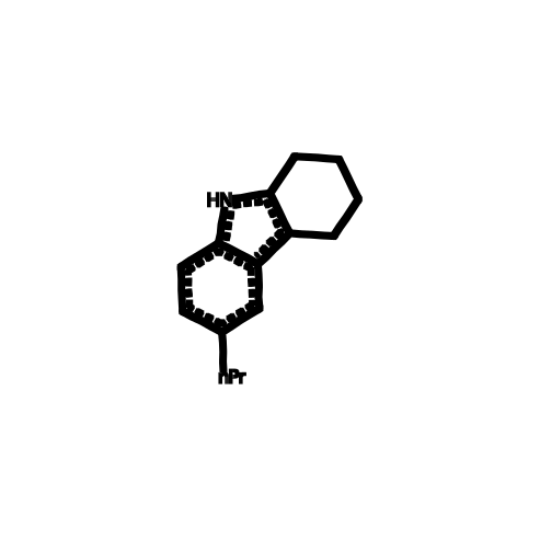 CCCc1ccc2[nH]c3c(c2c1)CCCC3